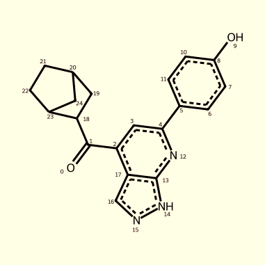 O=C(c1cc(-c2ccc(O)cc2)nc2[nH]ncc12)C1CC2CCC1C2